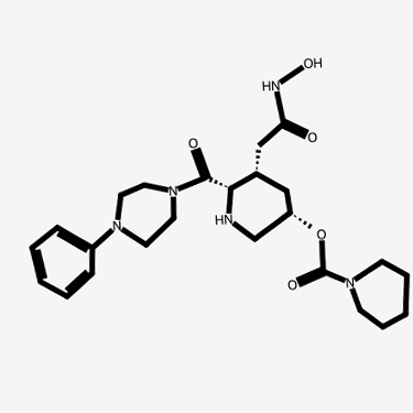 O=C(C[C@@H]1C[C@H](OC(=O)N2CCCCC2)CN[C@@H]1C(=O)N1CCN(c2ccccc2)CC1)NO